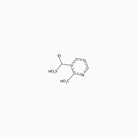 CCC(c1cccnc1C(=O)O)S(=O)(=O)O